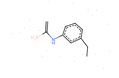 BC(=C)Nc1cccc(CC)c1